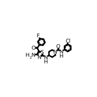 Nc1nc(NC2CCN(C(=O)Nc3cccc(Cl)c3)CC2)sc1C(=O)c1cccc(F)c1